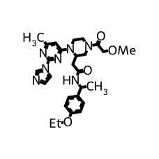 CCOc1ccc(C(C)NC(=O)CC2CN(C(=O)COC)CCN2c2cc(C)nc(-n3ccnc3)n2)cc1